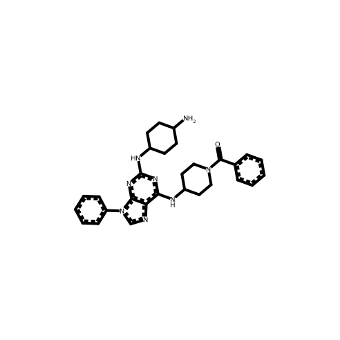 NC1CCC(Nc2nc(NC3CCN(C(=O)c4ccccc4)CC3)c3ncn(-c4ccccc4)c3n2)CC1